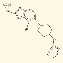 O=C(O)Oc1cc2c(Br)c(N3CCC(Oc4ccccn4)CC3)ccc2o1